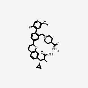 COc1cc(-c2ccc(C3CCc4ccc([C@H](C5CC5)[C@H](C)C(=O)O)cc4O3)cc2CN2CCC(C(N)=O)CC2)c(F)cn1